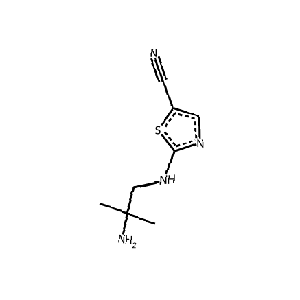 CC(C)(N)CNc1ncc(C#N)s1